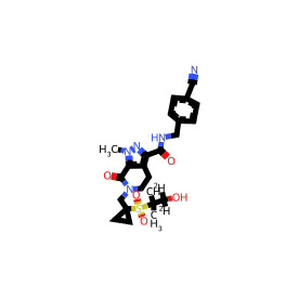 [2H]C([2H])(O)C(C)(C)S(=O)(=O)C1(CN2CCc3c(C(=O)NCc4ccc(C#N)cc4)nn(C)c3C2=O)CC1